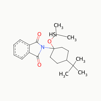 C[SiH](C)OC1(N2C(=O)c3ccccc3C2=O)CCC(C(C)(C)C)CC1